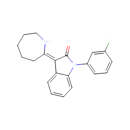 O=C1C(=C2CCCCCN2)c2ccccc2N1c1cccc(Cl)c1